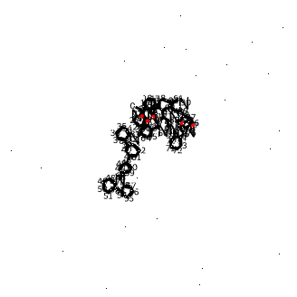 Cc1cccc(-c2ccccc2-c2c(-n3c4ccccc4c4ncccc43)c(-c3ccc(-n4c5ccccc5c5cc(-c6ccc(-n7c8ccccc8c8ccccc87)cc6)ccc54)cc3)nc(-n3c4ccccc4c4ncccc43)c2-n2c3ccccc3c3ncccc32)n1